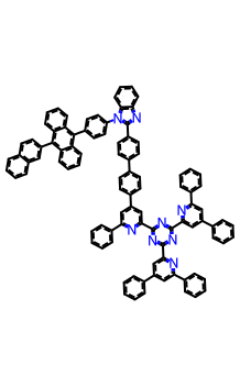 c1ccc(-c2cc(-c3ccccc3)nc(-c3nc(-c4cc(-c5ccccc5)cc(-c5ccccc5)n4)nc(-c4cc(-c5ccc(-c6ccc(-c7nc8ccccc8n7-c7ccc(-c8c9ccccc9c(-c9ccc%10ccccc%10c9)c9ccccc89)cc7)cc6)cc5)cc(-c5ccccc5)n4)n3)c2)cc1